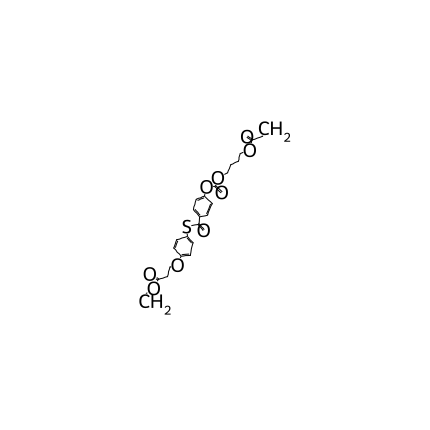 C=COC(=O)CCOc1ccc(SC(=O)c2ccc(OC(=O)OCCCCOC(=O)C=C)cc2)cc1